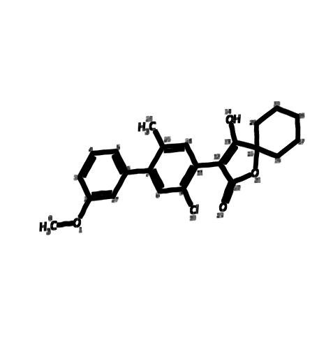 COc1cccc(-c2cc(Cl)c(C3=C(O)C4(CCCCC4)OC3=O)cc2C)c1